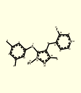 Cc1cc(C)cc(Sc2c(Cc3ccncc3F)c(C)nn2C(C)C)c1